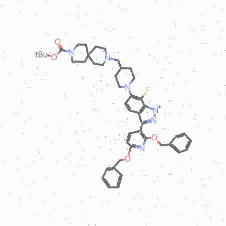 Cn1nc(-c2ccc(OCc3ccccc3)nc2OCc2ccccc2)c2ccc(N3CCC(CN4CCC5(CC4)CCN(C(=O)OC(C)(C)C)CC5)CC3)c(F)c21